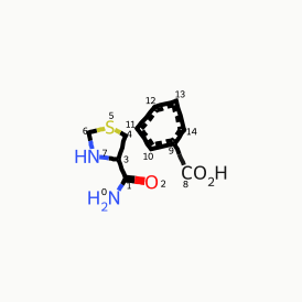 NC(=O)C1CSCN1.O=C(O)c1ccccc1